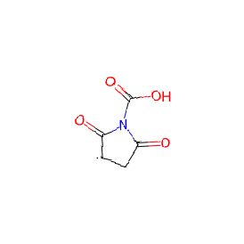 O=C(O)N1C(=O)[CH]CC1=O